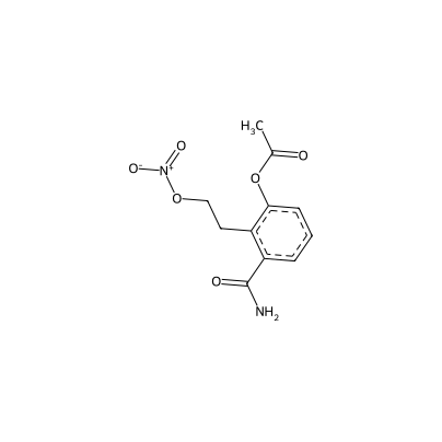 CC(=O)Oc1cccc(C(N)=O)c1CCO[N+](=O)[O-]